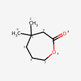 CC1(C)CCCOC(=O)C1